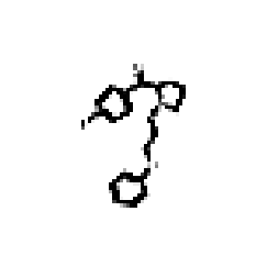 O=C(c1ccc(F)cc1)C1CCCN1CCCOc1ccccc1